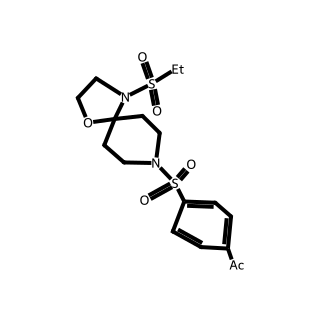 CCS(=O)(=O)N1CCOC12CCN(S(=O)(=O)c1ccc(C(C)=O)cc1)CC2